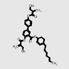 C=C(CO)C(=O)Oc1ccc(-c2ccc(OC(=O)C(=C)CO)c(C(=O)OC3CCC(CCCCCCC)CC3)c2)cc1